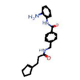 Nc1ccccc1NC(=O)c1ccc(CNC(=O)CCC2CCCC2)cc1